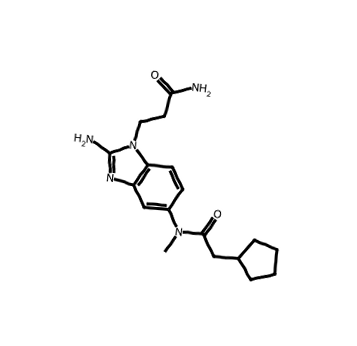 CN(C(=O)CC1CCCC1)c1ccc2c(c1)nc(N)n2CCC(N)=O